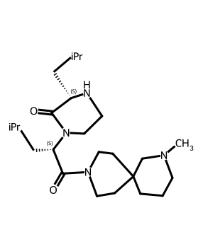 CC(C)C[C@@H]1NCCN([C@@H](CC(C)C)C(=O)N2CCC3(CCCN(C)C3)CC2)C1=O